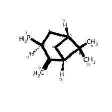 C=C1[C@@H](P)C[C@H]2C[C@@H]1C2(C)C